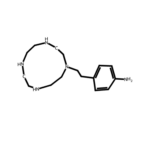 Nc1ccc(CCN2CCNCCNCCNCC2)cc1